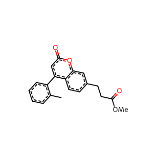 COC(=O)CCc1ccc2c(-c3ccccc3C)cc(=O)oc2c1